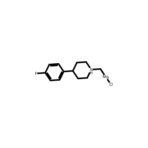 Fc1ccc(C2CC[SiH]([CH2][Mg][Cl])CC2)cc1